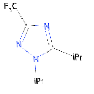 CC(C)c1nc(C(F)(F)F)nn1C(C)C